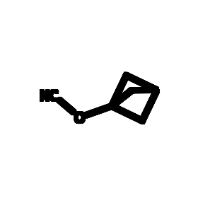 N#COC12CC(C1)C2